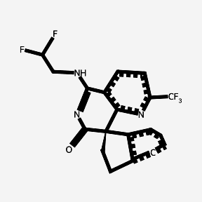 O=C1N=C(NCC(F)F)c2ccc(C(F)(F)F)nc2[C@@]12CCc1ccccc12